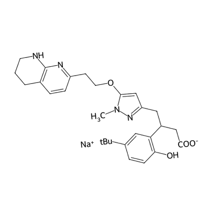 Cn1nc(CC(CC(=O)[O-])c2cc(C(C)(C)C)ccc2O)cc1OCCc1ccc2c(n1)NCCC2.[Na+]